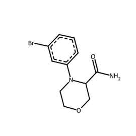 NC(=O)C1COCCN1c1cccc(Br)c1